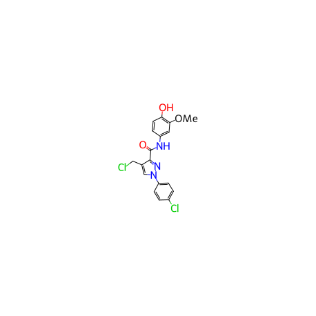 COc1cc(NC(=O)c2nn(-c3ccc(Cl)cc3)cc2CCl)ccc1O